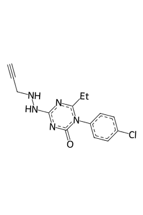 C#CCNNc1nc(CC)n(-c2ccc(Cl)cc2)c(=O)n1